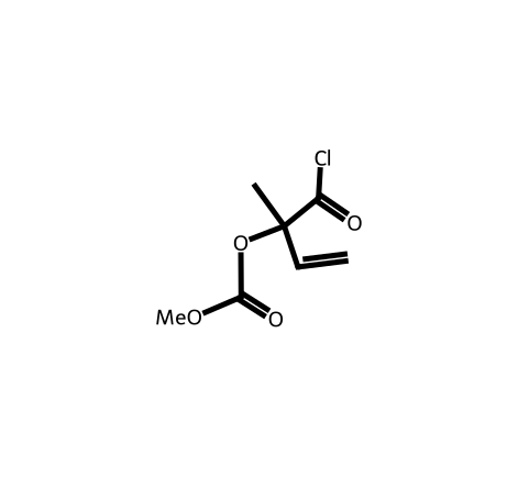 C=CC(C)(OC(=O)OC)C(=O)Cl